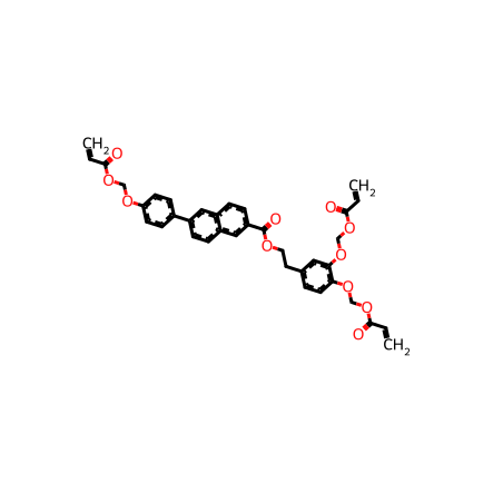 C=CC(=O)OCOc1ccc(-c2ccc3cc(C(=O)OCCc4ccc(OCOC(=O)C=C)c(OCOC(=O)C=C)c4)ccc3c2)cc1